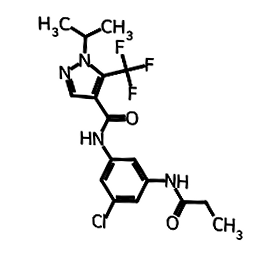 CCC(=O)Nc1cc(Cl)cc(NC(=O)c2cnn(C(C)C)c2C(F)(F)F)c1